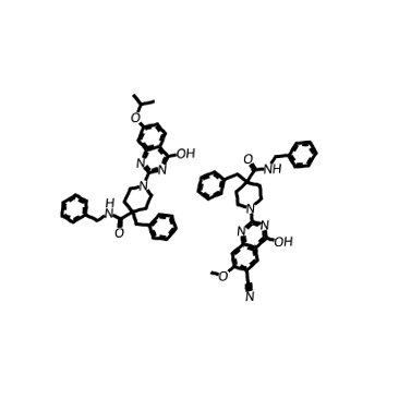 CC(C)Oc1ccc2c(O)nc(N3CCC(Cc4ccccc4)(C(=O)NCc4ccccc4)CC3)nc2c1.COc1cc2nc(N3CCC(Cc4ccccc4)(C(=O)NCc4ccccc4)CC3)nc(O)c2cc1C#N